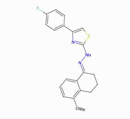 COc1cccc2c1CCC/C2=N\Nc1nc(-c2ccc(F)cc2)cs1